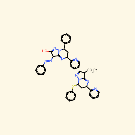 CCOC(=O)C1C=NN2C1=NC(c1ccccn1)CC2Sc1ccccc1.OC1=NN2C(=NC(c3ccccn3)CC2c2ccccc2)C1N=Nc1ccccc1